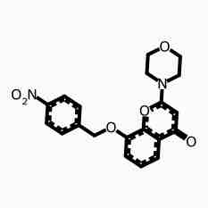 O=c1cc(N2CCOCC2)oc2c(OCc3ccc([N+](=O)[O-])cc3)cccc12